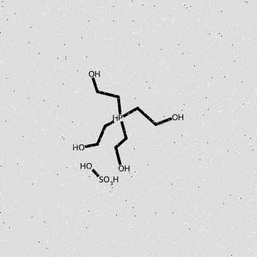 O=S(=O)(O)O.OCC[PH](CCO)(CCO)CCO